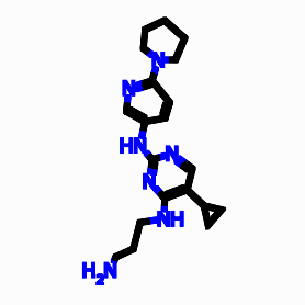 NCCCNc1nc(Nc2ccc(N3CCCCC3)nc2)ncc1C1CC1